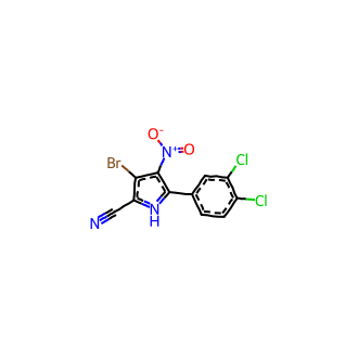 N#Cc1[nH]c(-c2ccc(Cl)c(Cl)c2)c([N+](=O)[O-])c1Br